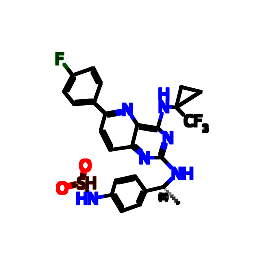 C[C@@H](Nc1nc(NC2(C(F)(F)F)CC2)c2nc(-c3ccc(F)cc3)ccc2n1)c1ccc(N[SH](=O)=O)cc1